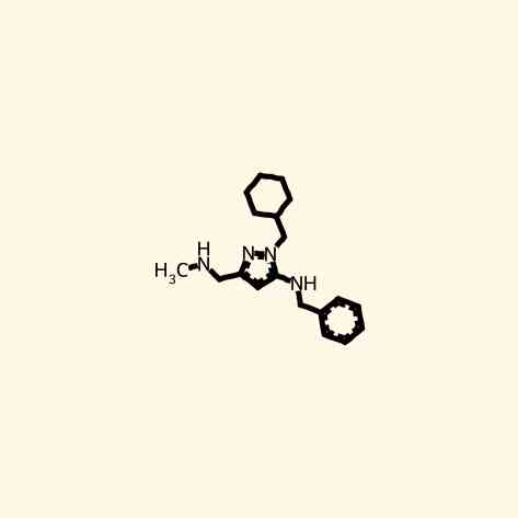 CNCc1cc(NCc2ccccc2)n(CC2CCCCC2)n1